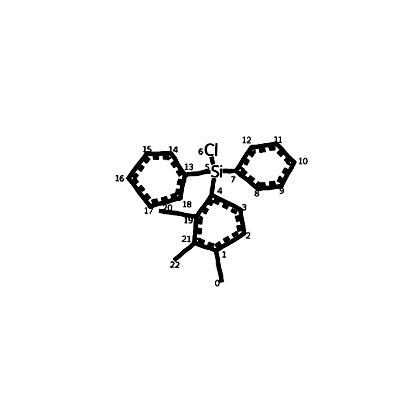 Cc1ccc([Si](Cl)(c2ccccc2)c2ccccc2)c(C)c1C